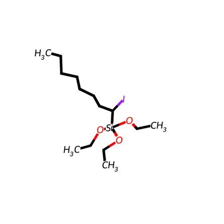 CCCCCCCC(I)[Si](OCC)(OCC)OCC